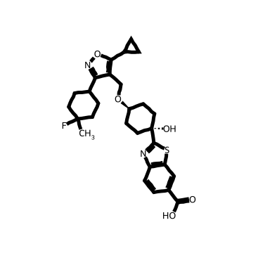 CC1(F)CCC(c2noc(C3CC3)c2CO[C@H]2CC[C@@](O)(c3nc4ccc(C(=O)O)cc4s3)CC2)CC1